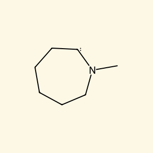 CN1[C]CCCCC1